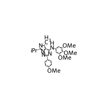 COc1ccc(-c2nc(Nc3cc(OC)c(OC)c(OC)c3)c3c(C)nc(C(C)C)n3n2)cc1